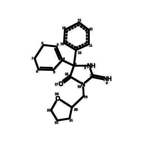 N=C1NC(C2=CCCC=C2)(c2ccccc2)C(=O)N1CC1CCCO1